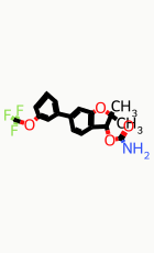 CC1(C)Oc2cc(-c3cccc(OC(F)(F)F)c3)ccc2C1OC(N)=O